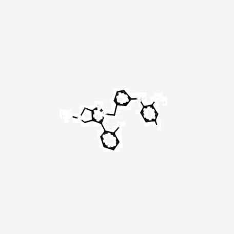 Cc1cc(F)ccc1Nc1cccc(Cn2nc3c(c2-c2ccccc2F)CN(C)C3)c1